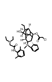 CCN(CC)CC(=O)Nc1c(C)cccc1C.CC[C@H]1[C@@H]2C[C@H]3[C@@H]4N(C)c5ccccc5[C@]45C[C@@H](C2[C@H]5OC(=O)CCl)N3[C@@H]1O